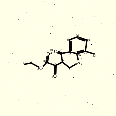 CCOC(=O)C(=O)C1CSc2c(C)cccc2C1=O